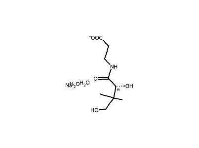 CC(C)(CO)[C@@H](O)C(=O)NCCC(=O)[O-].O.O.[Na+]